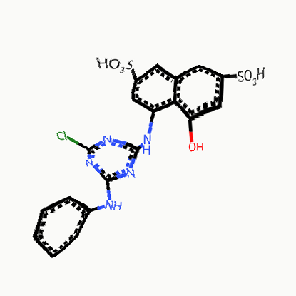 O=S(=O)(O)c1cc(O)c2c(Nc3nc(Cl)nc(Nc4ccccc4)n3)cc(S(=O)(=O)O)cc2c1